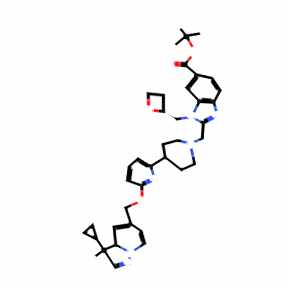 CC(C)(C)OC(=O)c1ccc2nc(CN3CCC(c4cccc(OCC5=CC6N(C=C5)N=CC6(C)C5CC5)n4)CC3)n(C[C@@H]3CCO3)c2c1